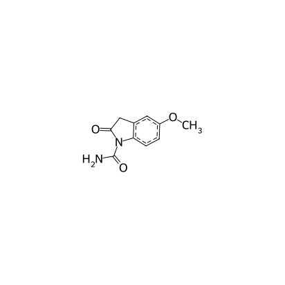 COc1ccc2c(c1)CC(=O)N2C(N)=O